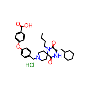 CCCCN1C(=O)[C@H](CC2CCCCC2)NC(=O)C12CCN(Cc1ccc(Oc3ccc(C(=O)O)cc3)cc1)CC2.Cl